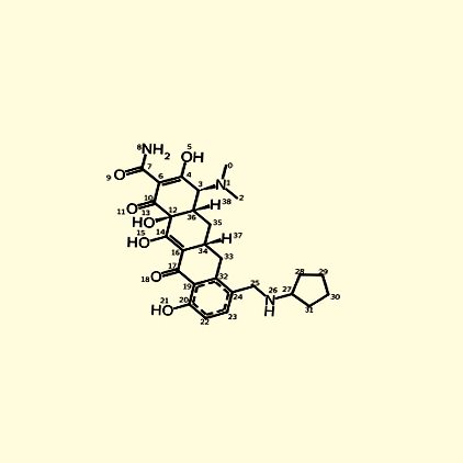 CN(C)[C@@H]1C(O)=C(C(N)=O)C(=O)[C@@]2(O)C(O)=C3C(=O)c4c(O)ccc(CNC5CCCC5)c4C[C@H]3C[C@@H]12